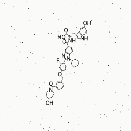 O=C(N[C@@H](Cc1c[nH]c2ccc(O)cc12)C(=O)O)c1ccc2c(c1)nc(-c1ccc(OCc3cccc(C(=O)N4CCC(O)CC4)c3)cc1F)n2C1CCCCC1